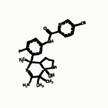 CC1(C)C(N)=N[C@](C)(c2cc(NC(=O)c3ccc(C#N)cn3)ccc2F)C2CCNS21O